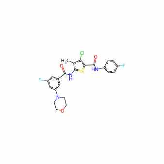 Cc1c(NC(=O)c2cc(F)cc(N3CCOCC3)c2)sc(C(=O)Nc2ccc(F)cc2)c1Cl